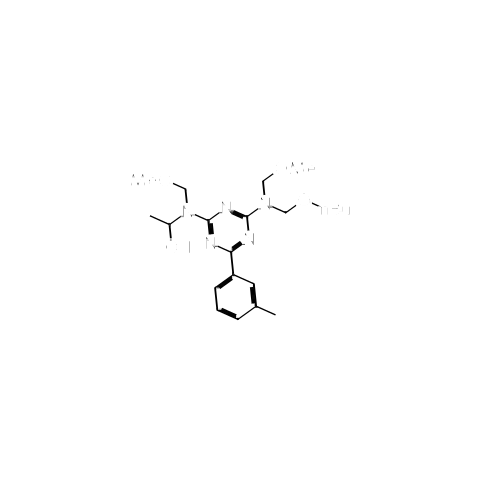 CCCCOCN(COC)c1nc(-c2cccc(C)c2)nc(N(COC)C(C)O)n1